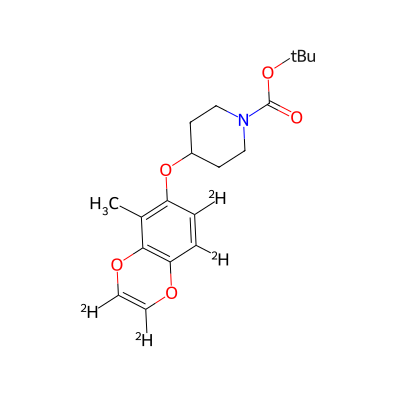 [2H]C1=C([2H])Oc2c(C)c(OC3CCN(C(=O)OC(C)(C)C)CC3)c([2H])c([2H])c2O1